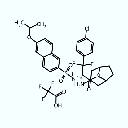 CC(C)Oc1ccc2cc(S(=O)(=O)N[C@@H](C(=O)N3C4CCC3CC(N)C4)C(F)(F)c3ccc(Cl)cc3)ccc2c1.O=C(O)C(F)(F)F